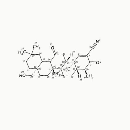 C[C@@H]1C(=O)C(C#N)=C[C@]2(C)[C@H]3CC(=O)C4C5CC(C)(C)CC[C@]5(CO)CC[C@@]4(C)[C@]3(C)CC[C@@H]12